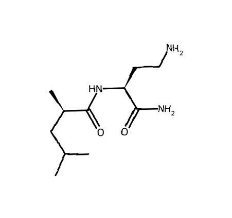 CC(C)C[C@@H](C)C(=O)N[C@@H](CCN)C(N)=O